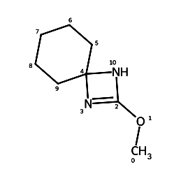 COC1=NC2(CCCCC2)N1